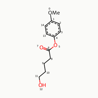 COc1ccc(OC(=O)CCCCO)cc1